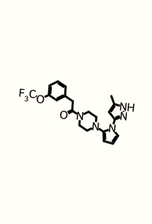 Cc1cc(-n2cccc2N2CCN(C(=O)Cc3cccc(OC(F)(F)F)c3)CC2)n[nH]1